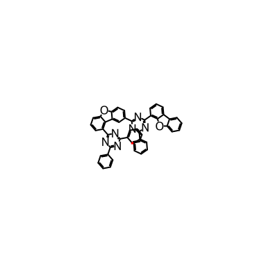 c1ccc(-c2nc(-c3ccc4oc5cccc(-c6nc(-c7ccccc7)nc(-c7ccccc7)n6)c5c4c3)nc(-c3cccc4c3oc3ccccc34)n2)cc1